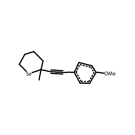 COc1ccc(C#CC2(C)CCCC[Se]2)cc1